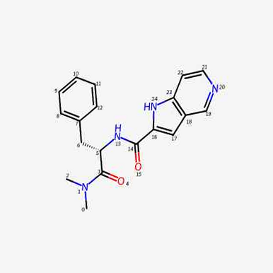 CN(C)C(=O)[C@H](Cc1ccccc1)NC(=O)c1cc2cnccc2[nH]1